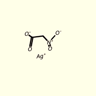 O=C([O-])C[N+](=O)[O-].[Ag+]